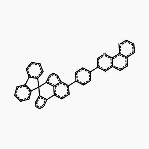 c1ccc2c(c1)-c1ccccc1C21c2ccccc2-c2ccc(-c3ccc(-c4cnc5c(ccc6cccnc65)c4)cc3)c3cccc1c23